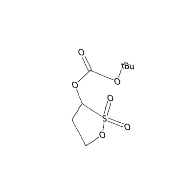 CC(C)(C)OC(=O)OC1CCOS1(=O)=O